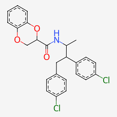 CC(NC(=O)C1COc2ccccc2O1)C(Cc1ccc(Cl)cc1)c1ccc(Cl)cc1